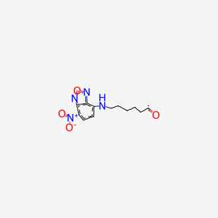 O=[C]CCCCCNc1ccc([N+](=O)[O-])c2nonc12